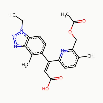 CCn1nnc2c(C)c(C(=CC(=O)O)c3ccc(C)c(COC(C)=O)n3)ccc21